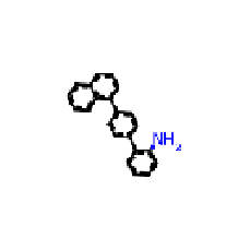 Nc1ccccc1-c1ccc(-c2cccc3ccccc23)cc1